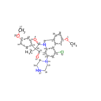 COc1ccc(CN2C(=O)C(C)(c3ccc(OC)cc3)C(=O)c3c(N4CCNCC4)cc(Cl)cc32)cc1